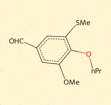 CCCOc1c(OC)cc(C=O)cc1SC